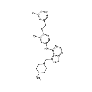 NC1CCN(Cc2ccn3ncnc(Nc4ccc(OCc5cncc(F)c5)c(Cl)c4)c23)CC1